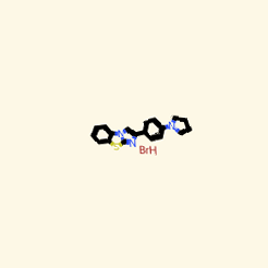 Br.c1ccc2c(c1)sc1nc(-c3ccc(N4CCCC4)cc3)cn12